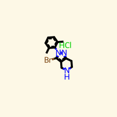 Cc1cccc(C)c1-n1nc2c(c1Br)CNCC2.Cl